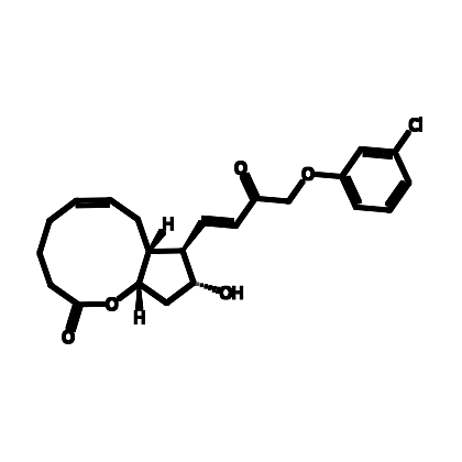 O=C(/C=C/[C@@H]1[C@H]2C/C=C\CCCC(=O)O[C@H]2C[C@H]1O)COc1cccc(Cl)c1